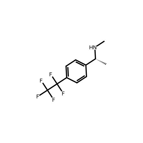 CN[C@H](C)c1ccc(C(F)(F)C(F)(F)F)cc1